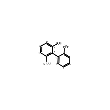 CCCc1ccccc1-c1c(O)cccc1C(C)CC